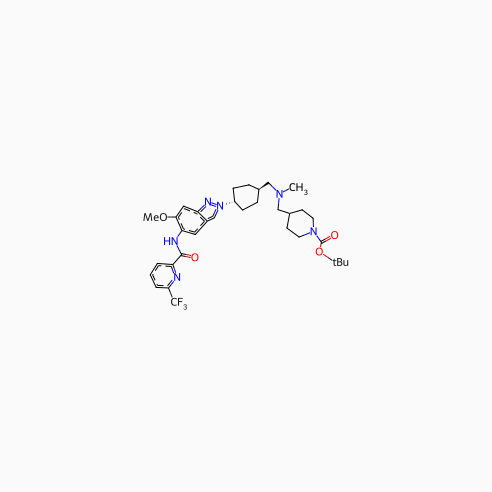 COc1cc2nn([C@H]3CC[C@H](CN(C)CC4CCN(C(=O)OC(C)(C)C)CC4)CC3)cc2cc1NC(=O)c1cccc(C(F)(F)F)n1